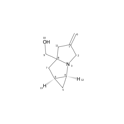 C=C1CN2[C@H]3C[C@H]3CC2(CO)C1